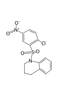 O=[N+]([O-])c1ccc(Cl)c(S(=O)(=O)N2CCCc3ccccc32)c1